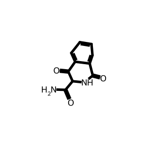 NC(=O)C1NC(=O)c2ccccc2C1=O